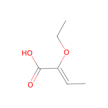 C/C=C(\OCC)C(=O)O